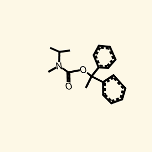 CC(C)N(C)C(=O)OC(C)(c1ccccc1)c1ccccc1